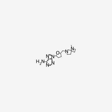 CN1CCC12CCN(CC1CCC(n3cnc4c(N)ncnc43)O1)C2